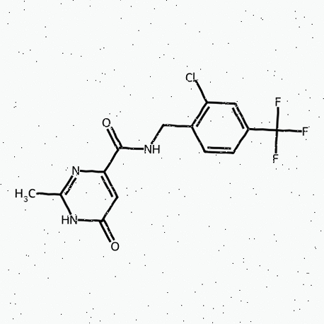 Cc1nc(C(=O)NCc2ccc(C(F)(F)F)cc2Cl)cc(=O)[nH]1